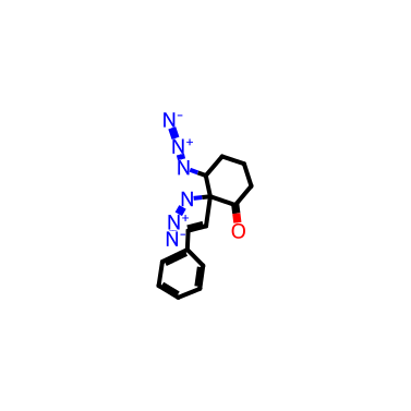 [N-]=[N+]=NC1CCCC(=O)C1(C=Cc1ccccc1)N=[N+]=[N-]